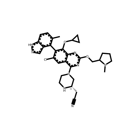 Cc1ccc2[nH]ncc2c1-c1c(Cl)cc2c(N3CCN[C@@H](CC#N)C3)nc(OCC3CCCN3C)nc2c1OC1CC1